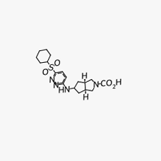 O=C(O)N1C[C@H]2CC(Nc3ccc(S(=O)(=O)C4CCCCC4)nn3)C[C@H]2C1